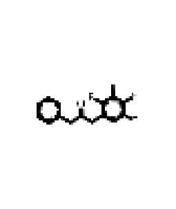 Cc1c(F)c(F)cc(CC(=O)Cc2ccccc2)c1F